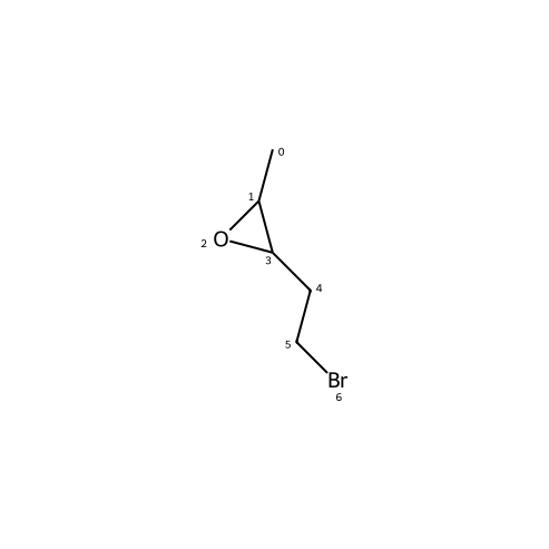 CC1OC1CCBr